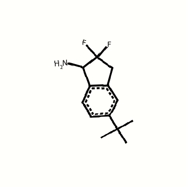 CC(C)(C)c1ccc2c(c1)CC(F)(F)C2N